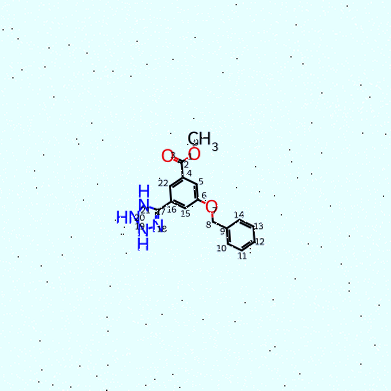 COC(=O)c1cc(OCc2ccccc2)cc(C2=NNNN2)c1